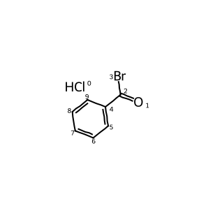 Cl.O=C(Br)c1ccccc1